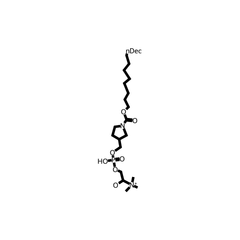 CCCCCCCCCCCCCCCCCCOC(=O)N1CCC(COP(=O)(O)OCC([O-])[N+](C)(C)C)C1